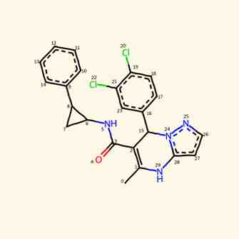 CC1=C(C(=O)NC2CC2c2ccccc2)C(c2ccc(Cl)c(Cl)c2)n2nccc2N1